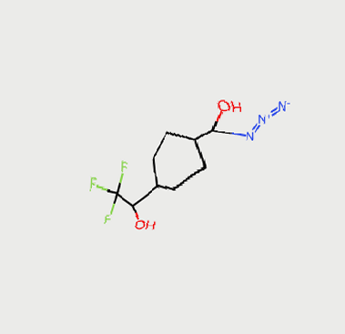 [N-]=[N+]=NC(O)C1CCC(C(O)C(F)(F)F)CC1